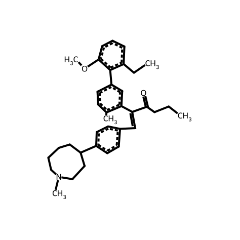 CCCC(=O)/C(=C/c1ccc(C2CCCCN(C)CC2)cc1)c1cc(-c2c(CC)cccc2OC)ccc1C